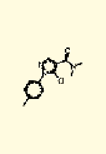 Cc1ccc(-n2ncc(C(=O)N(C)C)c2Cl)cc1